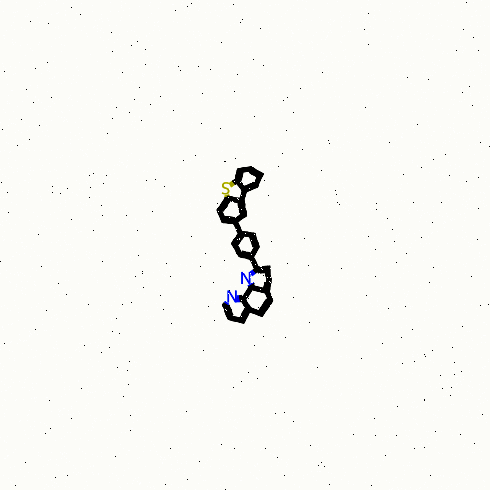 c1cnc2c(c1)ccc1ccc(-c3ccc(-c4ccc5sc6ccccc6c5c4)cc3)nc12